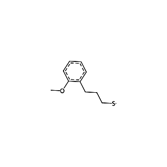 COc1ccccc1CCC[S]